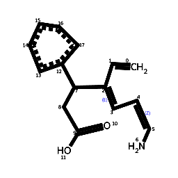 C=C/C(=C\C=C/N)C(CC(=O)O)c1ccccc1